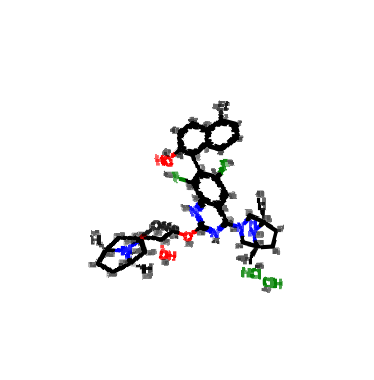 CCc1cccc2c(-c3c(F)cc4c(N5C[C@H]6CC[C@@H](C5)N6)nc(OC[C@H](O)CN5[C@@H]6CC[C@H]5CC(OC)C6)nc4c3F)c(O)ccc12.Cl.Cl